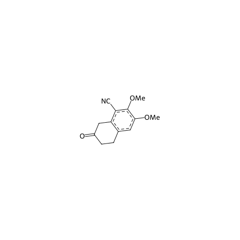 COc1cc2c(c(C#N)c1OC)CC(=O)CC2